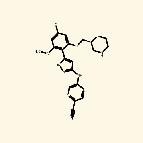 COc1cc(Cl)cc(OC[C@@H]2CNCCS2)c1-c1cc(Nc2cnc(C#N)cn2)n[nH]1